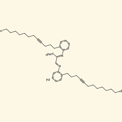 CCCCCCCCCCCCCCCCCC#CCCCc1ccccc1N=CC(CCCCC)=Nc1ccccc1CCCC#CCCCCCCCCCCCCCCCCC.[Pd]